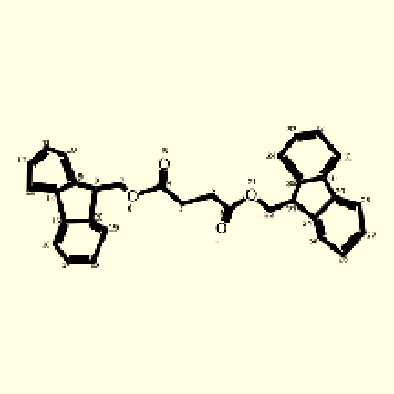 O=C(CCC(=O)OCC1c2ccccc2-c2ccccc21)OCC1c2ccccc2-c2ccccc21